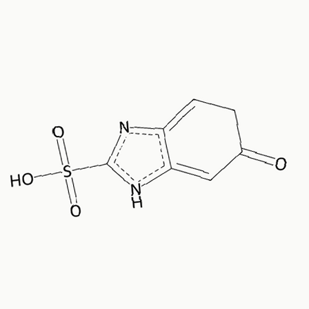 O=C1C=c2[nH]c(S(=O)(=O)O)nc2=CC1